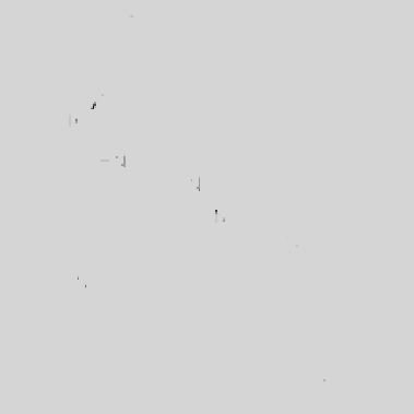 Oc1cc(C(F)(F)F)ccc1-c1nnc(NC[C@]2(O)CCOC2)c2cnccc12